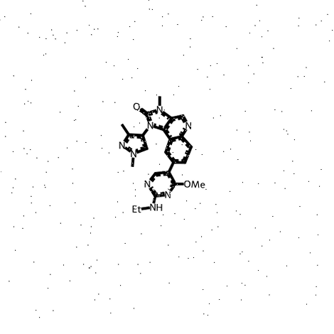 CCNc1ncc(-c2ccc3ncc4c(c3c2)n(-c2cn(C)nc2C)c(=O)n4C)c(OC)n1